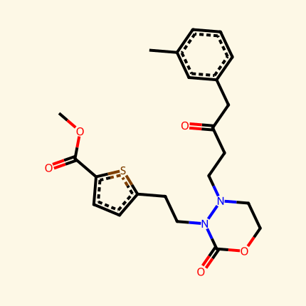 COC(=O)c1ccc(CCN2C(=O)OCCN2CCC(=O)Cc2cccc(C)c2)s1